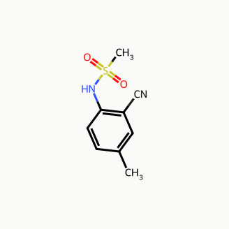 Cc1ccc(NS(C)(=O)=O)c(C#N)c1